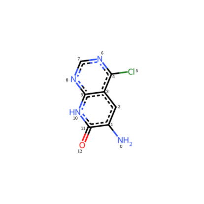 Nc1cc2c(Cl)ncnc2[nH]c1=O